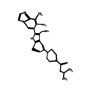 Cc1c(-c2[nH]c3ccc(C4CCN(C(=O)CN(C)C)CC4)cc3c2C(C)C)cn2ccnc2c1C